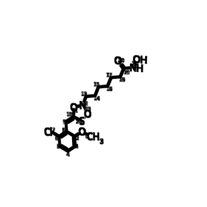 COc1cccc(Cl)c1C=C1ON(CCCCCCC(=O)NO)OS1